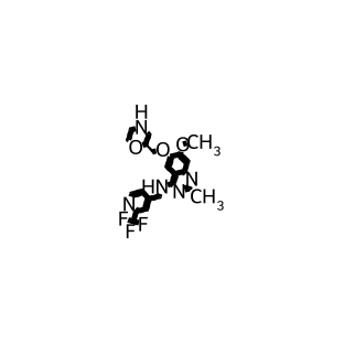 COc1cc2nc(C)nc(NCc3ccnc(C(F)(F)F)c3)c2cc1OC[C@@H]1CNCCO1